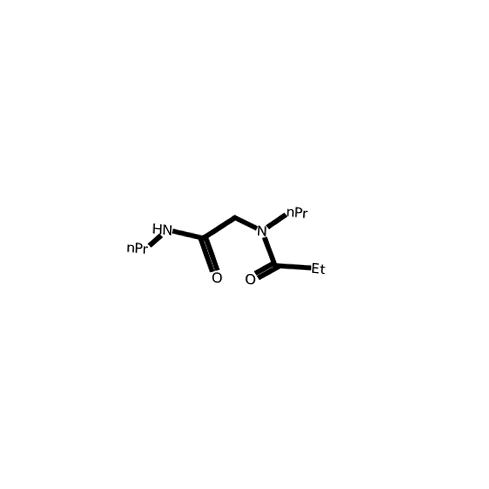 CCCNC(=O)CN(CCC)C(=O)CC